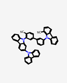 N#Cc1ccc(-c2cccc(-n3c4ccccc4c4cccc(C#N)c43)c2)cc1-n1c2ccccc2c2ccc(-n3c4ccccc4c4ccccc43)cc21